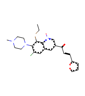 CCSc1c(N2CCN(C)CC2)c(F)cc2cc(C(=O)C=Cc3ccco3)c[n+]([O-])c12